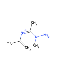 C=C(/N=C(/C)N(C)N)C(C)(C)C